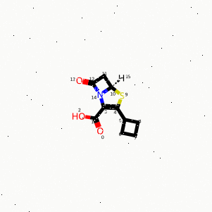 O=C(O)C1=C(C2CCC2)S[C@@H]2CC(=O)N12